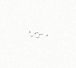 CC(C)NCC1CCN(CN(C)N)CC1